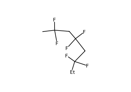 CCC(F)(F)CC(F)(F)CC(C)(F)F